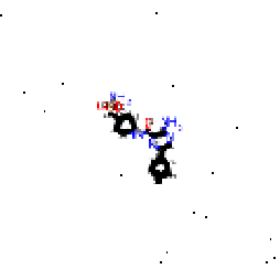 Cc1ccc(-c2cnc(N)c(C(=O)Nc3ccc(CS(N)(=O)=O)cc3)n2)cc1